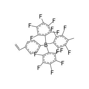 C=Cc1ccc([B-](c2c(F)c(F)c(C)c(F)c2F)(c2c(F)c(F)c(F)c(F)c2F)c2c(F)c(F)c(F)c(F)c2F)cc1